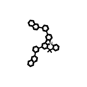 CC1(C)c2ccccc2-n2c3ccc(-c4cccc(-c5ccc6ccccc6c5)c4)cc3c3cc(-c4cccc(-c5ccc6ccccc6c5)c4)cc1c32